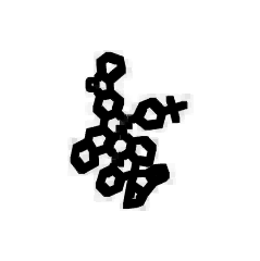 CC(C)(C)c1ccc(N2B3c4cccc5c4N(c4ccccc4C54c5ccccc5-c5ccccc54)c4c3c(cc3ccccc43)-c3cc4oc5ccccc5c4cc32)cc1